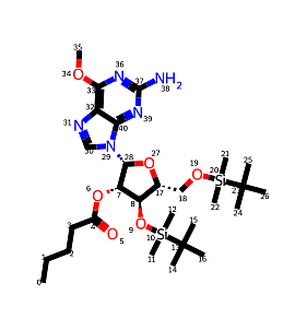 CCCCC(=O)O[C@H]1[C@H](O[Si](C)(C)C(C)(C)C)[C@@H](CO[Si](C)(C)C(C)(C)C)O[C@H]1n1cnc2c(OC)nc(N)nc21